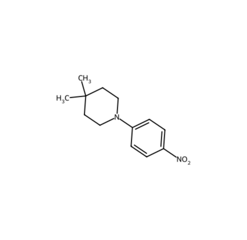 CC1(C)CCN(c2ccc([N+](=O)[O-])cc2)CC1